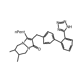 CCCCCc1c(Cc2ccc(-c3ccccc3-c3nnn[nH]3)cc2)c(=O)n2n1CC(C)C(C)C2